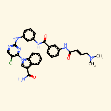 CN(C)CC=CC(=O)Nc1cccc(C(=O)Nc2cccc(Nc3ncc(Cl)c(-n4cc(C(N)=O)c5ccccc54)n3)c2)c1